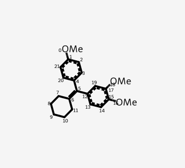 COc1ccc(C(=C2CCCCC2)c2ccc(OC)c(OC)c2)cc1